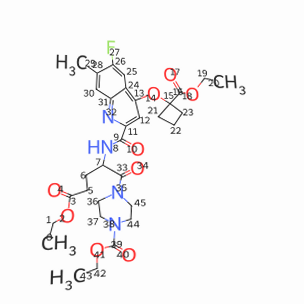 CCOC(=O)CCC(NC(=O)c1cc(OC2(C(=O)OCC)CCC2)c2cc(F)c(C)cc2n1)C(=O)N1CCN(C(=O)OCC)CC1